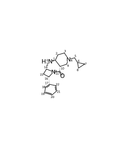 N[C@H]1CCN(CC2CC2)C[C@@H]1C(=O)N1CC[C@H]1c1ccccc1